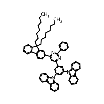 CCCCCCCCC1(CCCCCCCC)c2ccccc2-c2ccc(-c3cc(-c4cc(-n5c6ccccc6c6ccccc65)cc(-n5c6ccccc6c6ccccc65)c4)nc(-c4ccccc4)n3)cc21